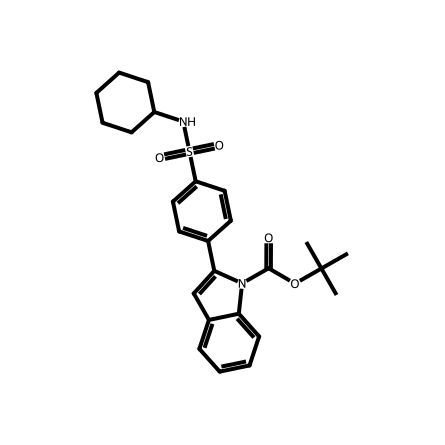 CC(C)(C)OC(=O)n1c(-c2ccc(S(=O)(=O)NC3CCCCC3)cc2)cc2ccccc21